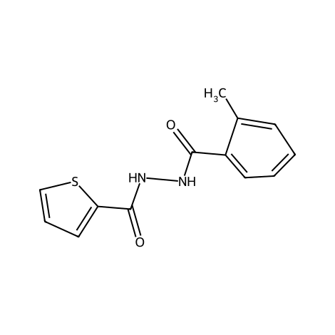 Cc1ccccc1C(=O)NNC(=O)c1cccs1